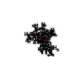 C[SiH](C)OC(C)(O[SiH](C)C)C([SiH3])(O[SiH](C)C)[Si](C)(C)O[Si](C)(O[Si](C)(C)C([SiH3])(O[SiH](C)C)C(C)(O[SiH](C)C)O[SiH](C)C)O[Si](C)(C)C([SiH3])(O[SiH](C)C)C(C)(O[SiH](C)C)O[SiH](C)C